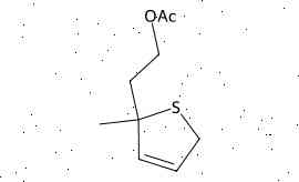 CC(=O)OCCC1(C)C=CCS1